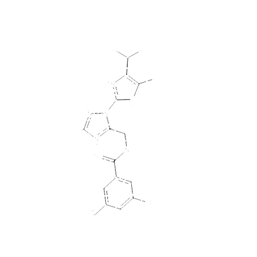 C[C@H](NC(=O)c1cc(Cl)cc(C(F)(F)F)c1)c1ncnn1-c1nc(C(F)F)c(Cl)s1